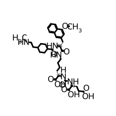 CNCCC1CCC(C(=O)N[C@H](Cc2cc(OC)c3ccccc3c2)C(=O)NCCCC[C@H](NC(=O)N[C@@H](CCC(=O)O)C(=O)O)C(=O)O)CC1